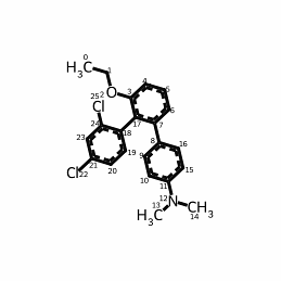 CCOc1[c]ccc(-c2ccc(N(C)C)cc2)c1-c1ccc(Cl)cc1Cl